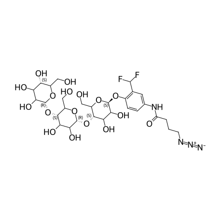 [N-]=[N+]=NCCCC(=O)Nc1ccc(O[C@@H]2OC(CO)[C@@H](O[C@H]3OC(CO)[C@@H](O[C@H]4OC(CO)[C@@H](O)C(O)C4O)C(O)C3O)C(O)C2O)c(C(F)F)c1